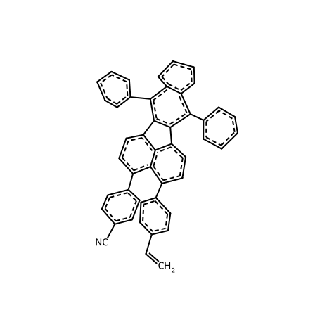 C=Cc1ccc(-c2ccc3c4c(ccc(-c5ccc(C#N)cc5)c24)-c2c-3c(-c3ccccc3)c3ccccc3c2-c2ccccc2)cc1